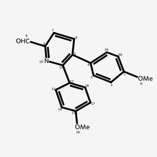 COc1ccc(-c2ccc(C=O)nc2-c2ccc(OC)cc2)cc1